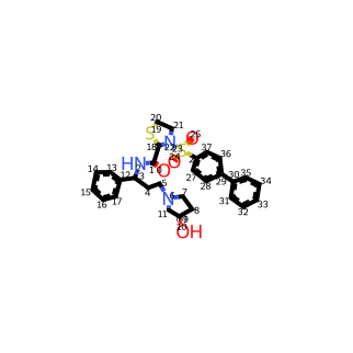 O=C(NC(CCN1CC[C@@H](O)C1)c1ccccc1)C1SCCN1S(=O)(=O)c1ccc(-c2ccccc2)cc1